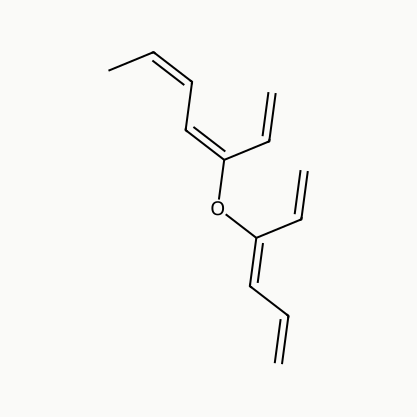 C=C/C=C(\C=C)O/C(C=C)=C/C=C\C